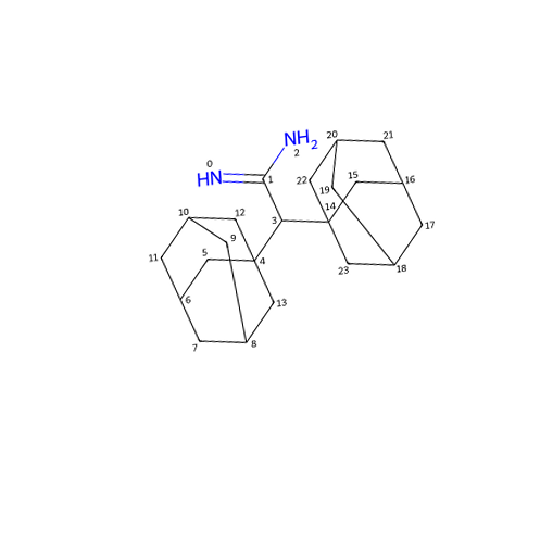 N=C(N)C(C12CC3CC(CC(C3)C1)C2)C12CC3CC(CC(C3)C1)C2